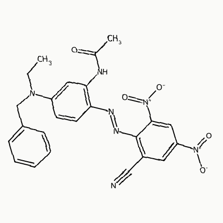 CCN(Cc1ccccc1)c1ccc(N=Nc2c(C#N)cc([N+](=O)[O-])cc2[N+](=O)[O-])c(NC(C)=O)c1